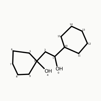 OC(CC1(O)CCCCC1)C1CCCCC1